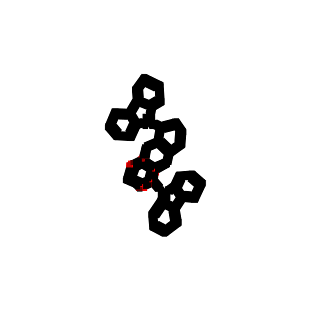 c1ccc2c(c1)C1c3cccc(-n4c5ccccc5c5ccccc54)c3C2c2cccc(-n3c4ccccc4c4ccccc43)c21